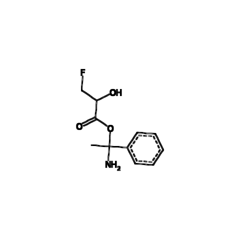 CC(N)(OC(=O)C(O)CF)c1ccccc1